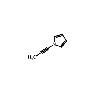 CC#Cn1cccc1